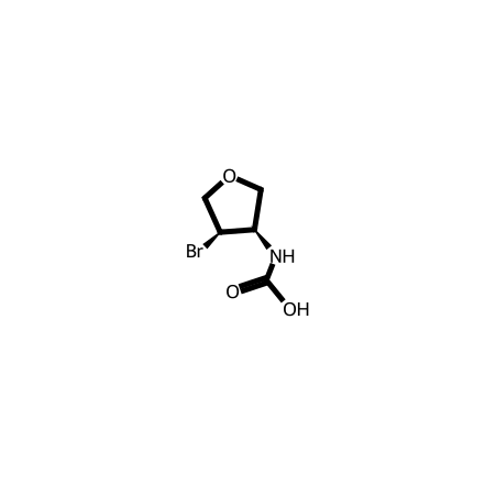 O=C(O)N[C@@H]1COC[C@@H]1Br